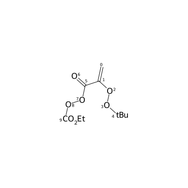 C=C(OOC(C)(C)C)C(=O)OOC(=O)OCC